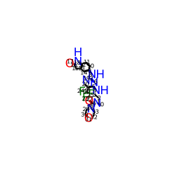 CN(CCNc1nc(Nc2ccc3c(c2)CC(=O)N3)ncc1C(F)(F)F)C(=O)N1CCOCC1